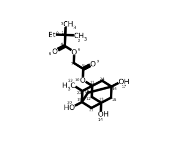 CCC(C)(C)C(=O)OCC(=O)OC12CC3(O)CC(O)(CC(O)(C3)C1C)C2